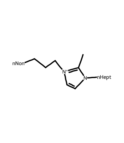 CCCCCCCCCCCC[n+]1ccn(CCCCCCC)c1C